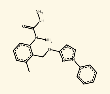 Cc1cccc(N(N)C(=O)NN)c1COc1ccn(-c2ccccc2)n1